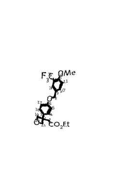 CCOC(=O)CC1(c2ccc(OCc3ccc(OC)c(C(F)(F)F)c3)cc2)COC1